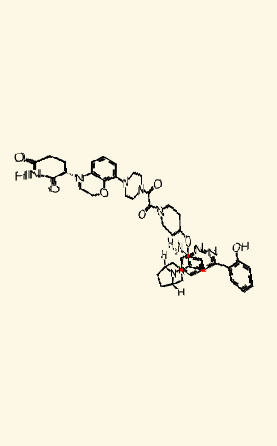 Nc1nnc(-c2ccccc2O)cc1N1C[C@H]2CC[C@@H](C1)N2c1cccc(OC2CCN(C(=O)C(=O)N3CCN(c4cccc5c4OCCN5[C@H]4CCC(=O)NC4=O)CC3)CC2)c1